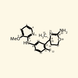 COc1cccnc1Nc1ccc(F)c([C@]2(C)CCOC(N)=N2)c1